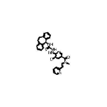 CN(CCc1ccccn1)C(=O)c1cnc(NNC(=S)NC2c3ccccc3CCc3ccccc32)c(Cl)c1